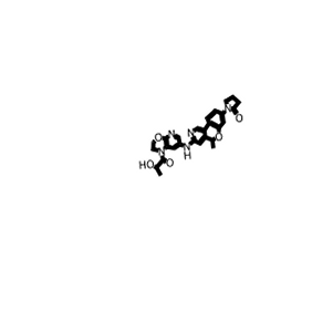 CC(O)C(=O)N1CCOc2ncc(Nc3cc4c(cn3)-c3ccc(N5CCCC5=O)cc3OC4C)cc21